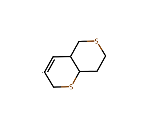 [C]1=CC2CSCCC2SC1